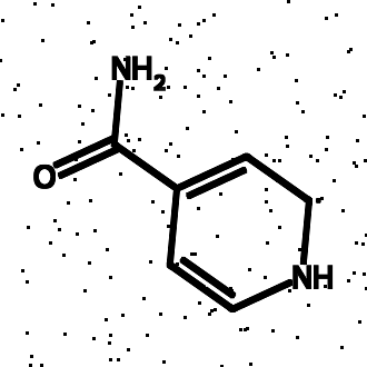 NC(=O)C1=C[CH]NC=C1